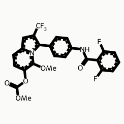 COC(=O)Oc1ccc2cc(C(F)(F)F)c(-c3ccc(NC(=O)c4c(F)cccc4F)cc3)n2c1OC